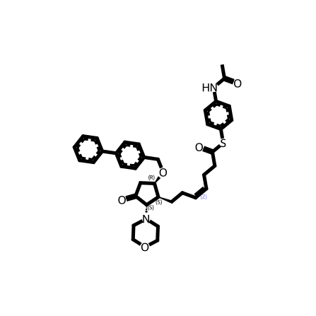 CC(=O)Nc1ccc(SC(=O)CC/C=C\CC[C@H]2[C@H](N3CCOCC3)C(=O)C[C@H]2OCc2ccc(-c3ccccc3)cc2)cc1